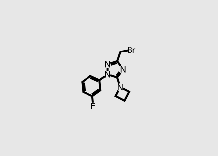 Fc1cccc(-n2nc(CBr)nc2N2CCC2)c1